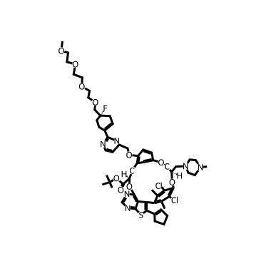 COCCOCCOCCOC[C@@]1(F)CC=C(c2nccc(COc3ccc4cc3C[C@H](C(=O)OC(C)(C)C)Oc3ncnc5sc(C6=CCCC6)c(c35)-c3c(C)c(Cl)c(c(Cl)c3C)O[C@H](CN3CCN(C)CC3)CO4)n2)CC1